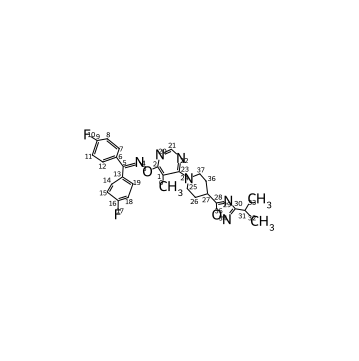 Cc1c(ON=C(c2ccc(F)cc2)c2ccc(F)cc2)ncnc1N1CCC(c2nc(C(C)C)no2)CC1